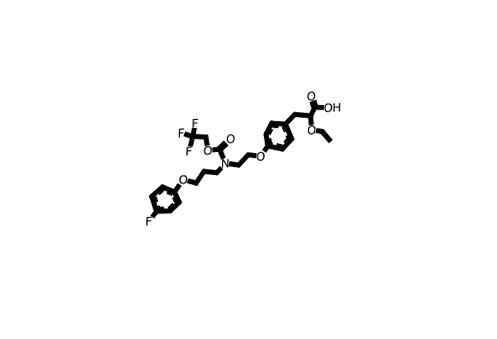 CCOC(Cc1ccc(OCCN(CCCOc2ccc(F)cc2)C(=O)OCC(F)(F)F)cc1)C(=O)O